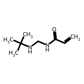 C=CC(=O)NCNC(C)(C)C